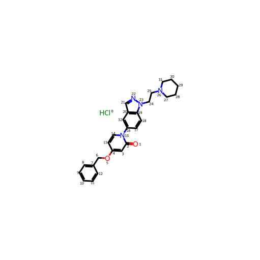 Cl.O=c1cc(OCc2ccccc2)ccn1-c1ccc2c(cnn2CCN2CCCCC2)c1